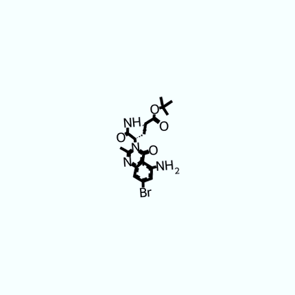 Cc1nc2cc(Br)cc(N)c2c(=O)n1[C@@H](CCC(=O)OC(C)(C)C)C(N)=O